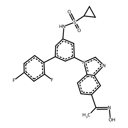 CC(=NO)c1ccc2c(c1)ncn2-c1cc(NS(=O)(=O)C2CC2)cc(-c2ccc(F)cc2F)c1